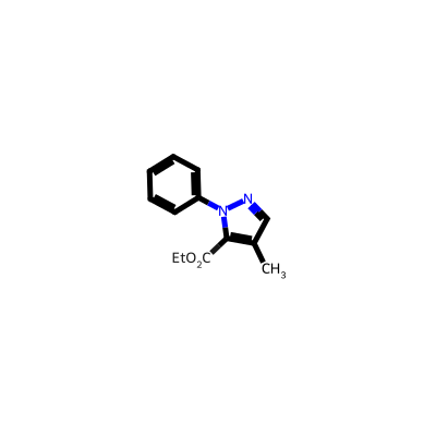 CCOC(=O)c1c(C)cnn1-c1ccccc1